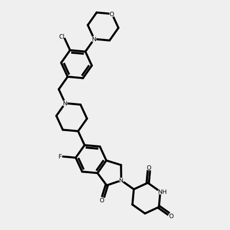 O=C1CCC(N2Cc3cc(C4CCN(Cc5ccc(N6CCOCC6)c(Cl)c5)CC4)c(F)cc3C2=O)C(=O)N1